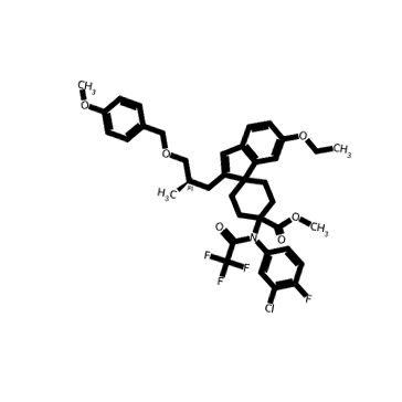 CCOc1ccc2c(c1)C1(CCC(C(=O)OC)(N(C(=O)C(F)(F)F)c3ccc(F)c(Cl)c3)CC1)C(C[C@@H](C)COCc1ccc(OC)cc1)=C2